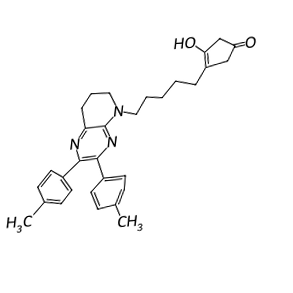 Cc1ccc(-c2nc3c(nc2-c2ccc(C)cc2)N(CCCCCC2=C(O)CC(=O)C2)CCC3)cc1